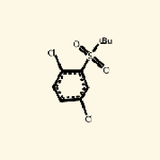 CC(C)(C)S(=O)(=O)c1cc(Cl)ccc1Cl